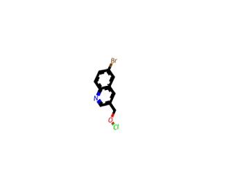 ClOCc1cnc2ccc(Br)cc2c1